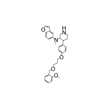 COc1ccccc1COCCCOc1ccc(C2CCNCC2N(C)c2ccc3occc3c2)cc1